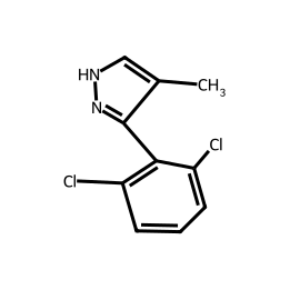 Cc1c[nH]nc1-c1c(Cl)cccc1Cl